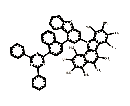 Bc1c(B)c(B)c2c(c1B)c(B)c(B)c1c3c(B)c(B)c(B)c(B)c3n(-c3cc(-c4ccc(-c5nc(-c6ccccc6)nc(-c6ccccc6)n5)c5ccccc45)c4c(c3)oc3ccccc34)c21